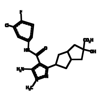 Cn1nc(C2CC3CC(O)(C(=O)O)CC3C2)c(C(=O)Nc2ccc(F)c(Cl)c2)c1N